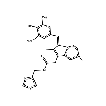 COc1cc(C=C2C(C)=C(CC(=O)NCc3cocn3)c3cc(F)ccc32)cc(OC)c1O